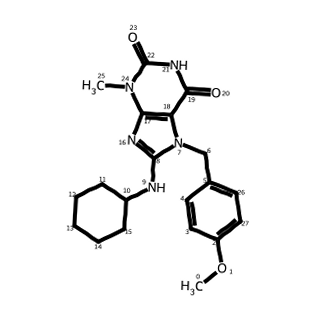 COc1ccc(Cn2c(NC3CCCCC3)nc3c2c(=O)[nH]c(=O)n3C)cc1